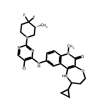 C[C@@H]1CN(c2ncc(Cl)c(Nc3ccc4c(c3)c3c(c(=O)n4C)OCCC(C4CC4)N3)n2)CCC1(F)F